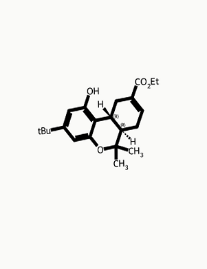 CCOC(=O)C1=CC[C@@H]2[C@@H](C1)c1c(O)cc(C(C)(C)C)cc1OC2(C)C